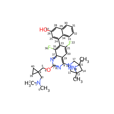 CN(C)CC1(COc2nc(N3CC4(C)CC(C)(C3)N4)c3cc(F)c(-c4cc(O)cc5ccccc45)c(F)c3n2)CC1